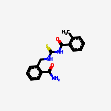 Cc1ccccc1C(=O)NC(=S)NCc1ccccc1C(N)=O